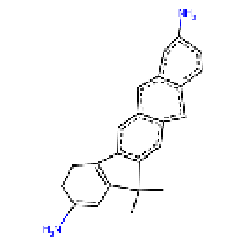 CC1(C)C2=C(CCC(N)=C2)c2cc3cc4cc(N)ccc4cc3cc21